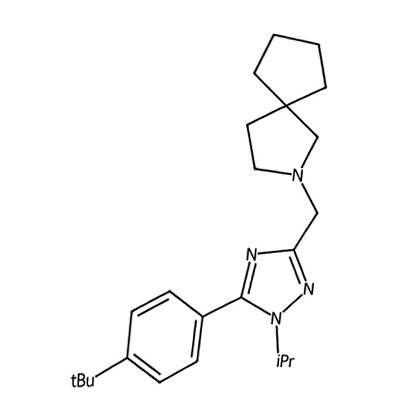 CC(C)n1nc(CN2CCC3(CCCC3)C2)nc1-c1ccc(C(C)(C)C)cc1